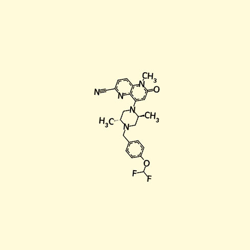 C[C@@H]1CN(c2cc(=O)n(C)c3ccc(C#N)nc23)[C@@H](C)CN1Cc1ccc(OC(F)F)cc1